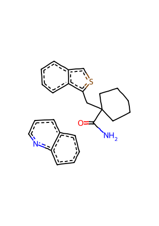 NC(=O)C1(Cc2scc3ccccc23)CCCCC1.c1ccc2ncccc2c1